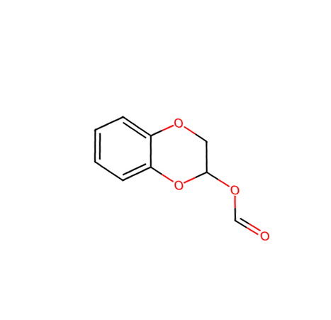 O=COC1COc2ccccc2O1